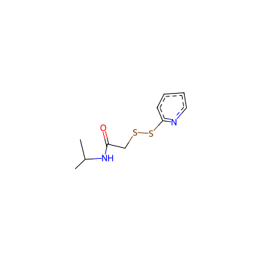 CC(C)NC(=O)CSSc1ccccn1